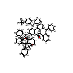 CC1(C)c2ccccc2N(c2ccccc2)c2cccc(-c3c(-n4c5ccccc5c5ccc(C(F)(F)F)cc54)cc(-n4c5ccccc5c5ccc(C(F)(F)F)cc54)c(-c4cccc5c4C(C)(C)c4ccccc4N5c4ccccc4)c3C#N)c21